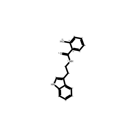 O=C(NCCc1c[nH]c2ccccc12)c1ccccc1O